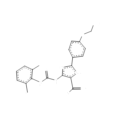 Cc1cccc(C)c1NC(=O)Nc1[nH]c(-c2ccc(OCC(=O)O)cc2)nc1C(N)=O